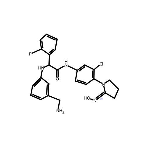 NCc1cccc(NC(C(=O)Nc2ccc(N3CCC/C3=N/O)c(Cl)c2)c2ccccc2F)c1